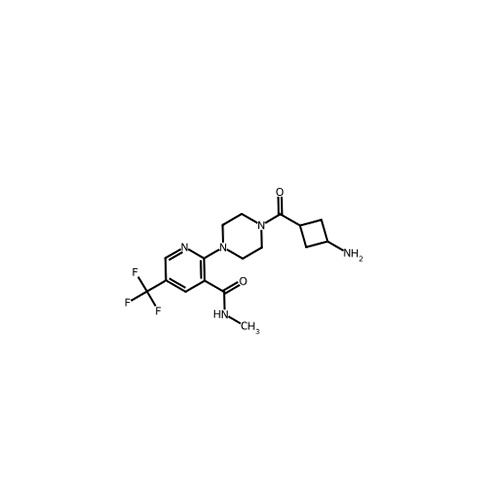 CNC(=O)c1cc(C(F)(F)F)cnc1N1CCN(C(=O)C2CC(N)C2)CC1